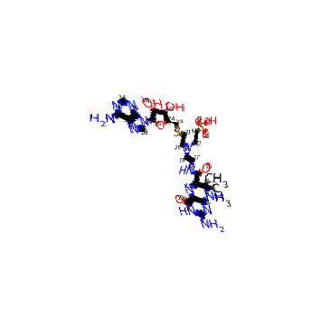 CC1(C)Nc2nc(N)[nH]c(=O)c2N=C1C(=O)NCCN(CCSC[C@H]1O[C@@H](n2cnc3c(N)ncnc32)C(O)C1O)CCS(=O)(=O)O